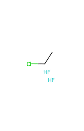 CCCl.F.F